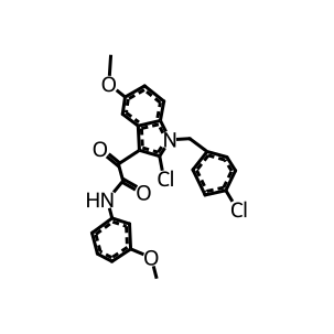 COc1cccc(NC(=O)C(=O)c2c(Cl)n(Cc3ccc(Cl)cc3)c3ccc(OC)cc23)c1